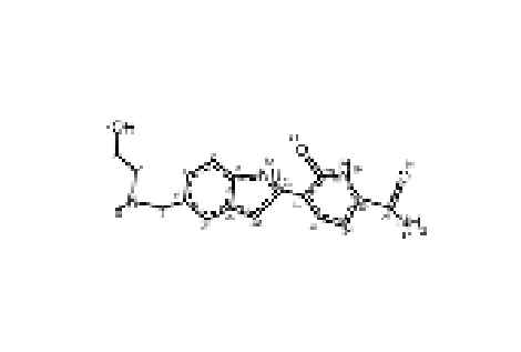 CN(CCO)Cc1ccc2[nH]c(-c3c[c]c(C(N)=O)[nH]c3=O)cc2c1